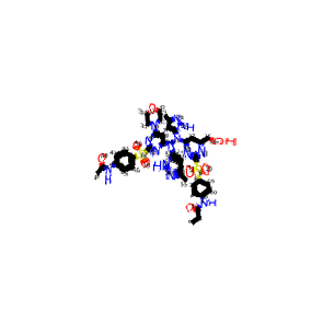 CCC(=O)Nc1ccc(S(=O)(=O)c2nc(CO)cc(N(c3cc(C)n[nH]3)N(c3cc(N4CCOCC4)nc(S(=O)(=O)c4ccc(NC(C)=O)cc4)n3)c3cc(C)n[nH]3)n2)cc1